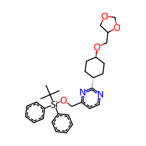 CC(C)(C)[Si](OCc1ccnc([C@H]2CC[C@H](OCC3COCO3)CC2)n1)(c1ccccc1)c1ccccc1